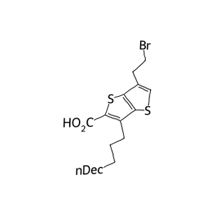 CCCCCCCCCCCCCc1c(C(=O)O)sc2c(CCBr)csc12